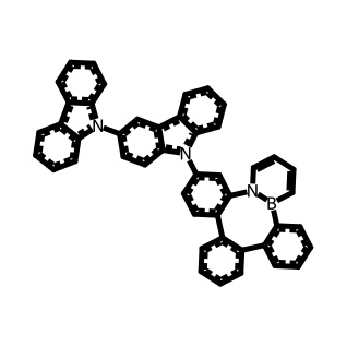 C1=CB2c3ccccc3-c3ccccc3-c3ccc(-n4c5ccccc5c5cc(-n6c7ccccc7c7ccccc76)ccc54)cc3N2C=C1